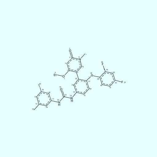 CCOc1cc(=O)n(C)cc1-c1cc(NC(=O)Nc2cc(C)cc(C)c2)ccc1Oc1ccc(F)cc1F